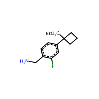 CCOC(=O)C1(c2ccc(CN)c(F)c2)CCC1